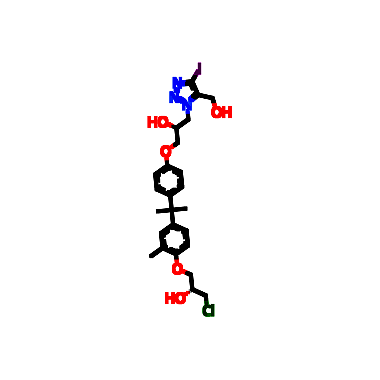 Cc1cc(C(C)(C)c2ccc(OC[C@@H](O)Cn3nnc(I)c3CO)cc2)ccc1OC[C@@H](O)CCl